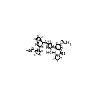 COc1cc(C(=O)N2CCC[C@H]2CO)cc(-n2cnc(Nc3nc(N4CCC[C@H]4CO)nn4cccc34)c2)c1